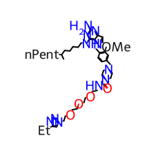 CCCCCC(C)CCCCCNc1nc(N)nc2ccn(Cc3ccc(CN4CCN(C(=O)NCCOCCOCCOCCn5cc(CC)nn5)CC4)cc3OC)c12